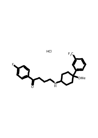 COC1(c2cccc(C(F)(F)F)c2)CCC(NCCCC(=O)c2ccc(F)cc2)CC1.Cl